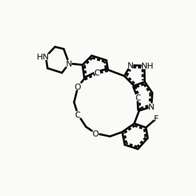 Fc1cccc2c1-c1cc3c(n[nH]c3cn1)-c1ccc(N3CCNCC3)c(c1)OCCCOC2